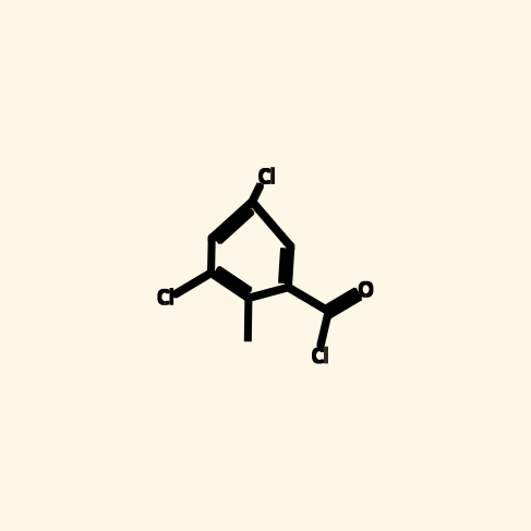 Cc1c(Cl)cc(Cl)cc1C(=O)Cl